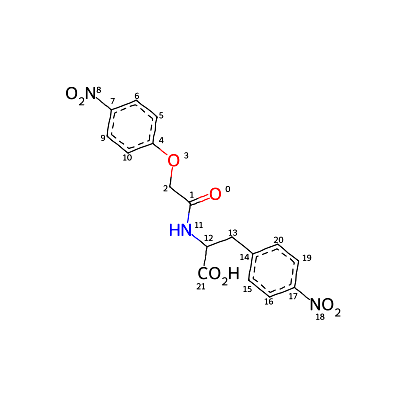 O=C(COc1ccc([N+](=O)[O-])cc1)NC(Cc1ccc([N+](=O)[O-])cc1)C(=O)O